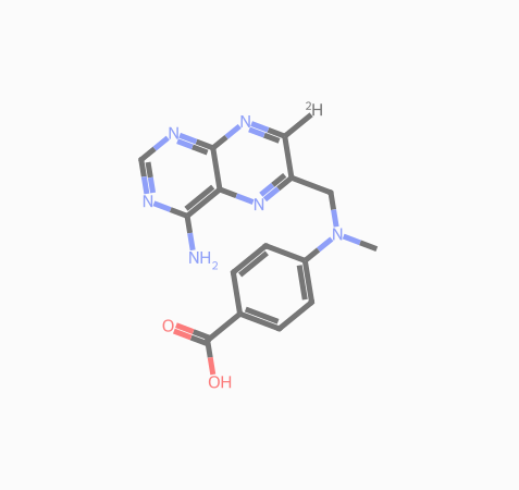 [2H]c1nc2ncnc(N)c2nc1CN(C)c1ccc(C(=O)O)cc1